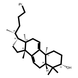 CC(C)CCC[C@@H](C)[C@H]1CC[C@@]2(C)C3=CC[C@H]4C(C)(C)[C@@H](O)CC[C@]4(C)C3=CC[C@]12C